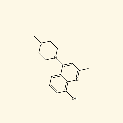 Cc1cc(N2CCN(C)CC2)c2cccc(O)c2n1